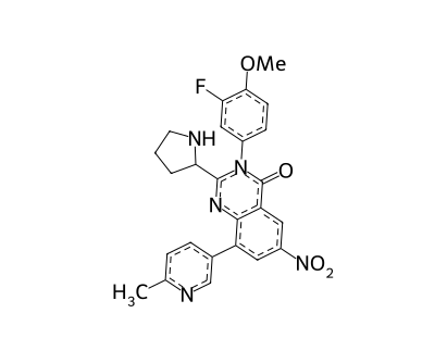 COc1ccc(-n2c(C3CCCN3)nc3c(-c4ccc(C)nc4)cc([N+](=O)[O-])cc3c2=O)cc1F